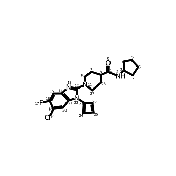 O=C(NC1CCCC1)C1CCN(c2nc3cc(F)c(Cl)cc3n2C2=CC=C2)CC1